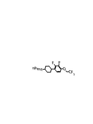 CCCCCC1CCC(c2ccc(OCC(F)(F)F)c(F)c2F)CC1